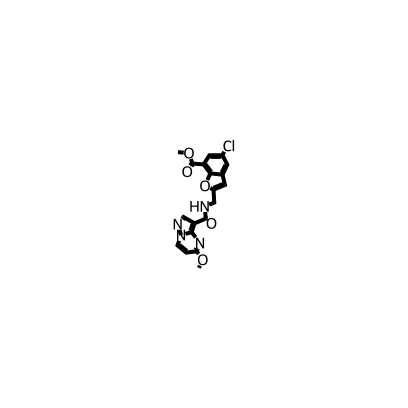 COC(=O)c1cc(Cl)cc2cc(CNC(=O)c3cnn4ccc(OC)nc34)oc12